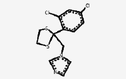 Clc1ccc(C2(Cn3ccnc3)SCCS2)c(Cl)c1